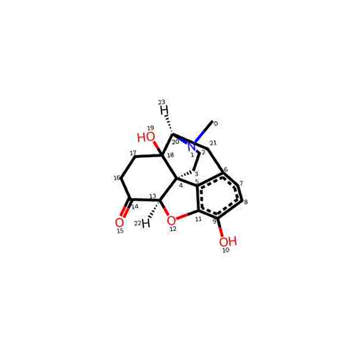 CN1CC[C@]23c4c5ccc(O)c4O[C@H]2C(=O)CCC3(O)[C@H]1C5